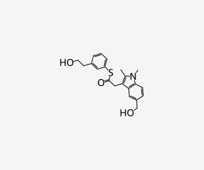 Cc1c(CC(=O)Sc2cccc(CCO)c2)c2cc(CO)ccc2n1C